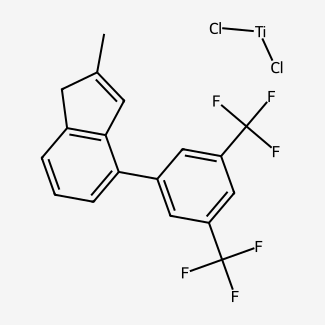 CC1=Cc2c(cccc2-c2cc(C(F)(F)F)cc(C(F)(F)F)c2)C1.[Cl][Ti][Cl]